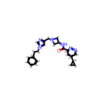 O=C(NC1CN(Cc2cn(CCc3ccccc3)cn2)C1)c1cc(C2CC2)cnn1